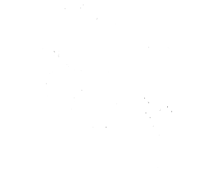 C1=C2Oc3cccc(-c4cccc5sc6cccc(-n7c8ccccc8c8ccccc87)c6c45)c3C2CC(C2N3C(c4ccccc4)NC(c4ccccc4)=[N+]23)=C1